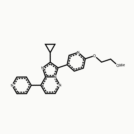 COCCOc1ccc(-c2c(C3CC3)nc3c(-c4ccncc4)ccnn23)cn1